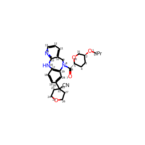 CC(C)O[C@H]1CC[C@H](C(=O)N2Cc3cccnc3Nc3ccc(C4(C#N)CCOCC4)cc32)OC1